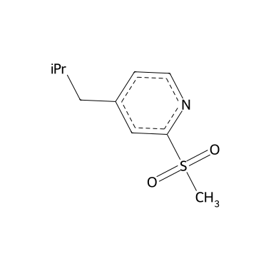 CC(C)Cc1ccnc(S(C)(=O)=O)c1